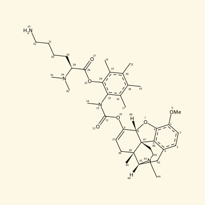 COc1ccc2c3c1O[C@H]1C(OC(=O)N(C)c4c(C)c(C)c(C)c(C)c4OC(=O)[C@H](CCCCN)N(C)C)=CC[C@@]4(C)[C@@H](C2)N(C)CC[C@]314